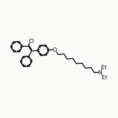 CCN(CC)CCCCCCCCCOc1ccc(C(=C(Cl)c2ccccc2)c2ccccc2)cc1